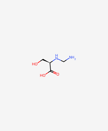 NCN[C@H](CO)C(=O)O